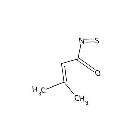 CC(C)=CC(=O)N=S